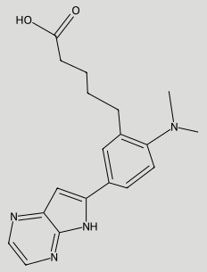 CN(C)c1ccc(-c2cc3nccnc3[nH]2)cc1CCCCC(=O)O